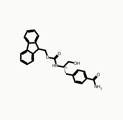 NC(=O)c1ccc(C[C@@H](CO)NC(=O)OCC2c3ccccc3-c3ccccc32)cc1